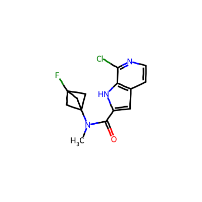 CN(C(=O)c1cc2ccnc(Cl)c2[nH]1)C12CC(F)(C1)C2